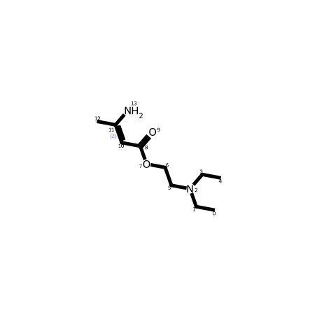 CCN(CC)CCOC(=O)/C=C(/C)N